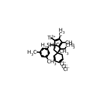 CCC(C)C1(CC2([SiH2]c3cc(C)cc(C)c3)C(C)=C(C)C(C)=[C]2[Ti+3])C=CC=CC1.[Cl-].[Cl-].[Cl-]